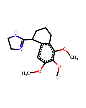 COc1cc2c(c(OC)c1OC)CCCC2C1=NCCN1